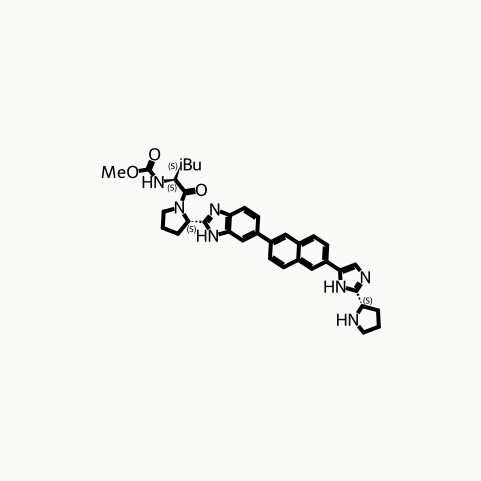 CC[C@H](C)[C@H](NC(=O)OC)C(=O)N1CCC[C@H]1c1nc2ccc(-c3ccc4cc(-c5cnc([C@@H]6CCCN6)[nH]5)ccc4c3)cc2[nH]1